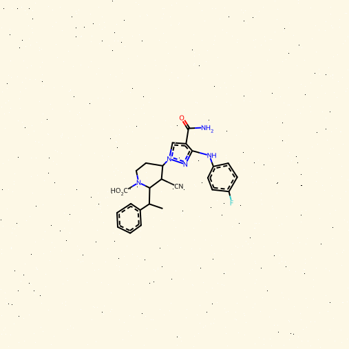 CC(c1ccccc1)C1C(C#N)C(n2cc(C(N)=O)c(Nc3ccc(F)cc3)n2)CCN1C(=O)O